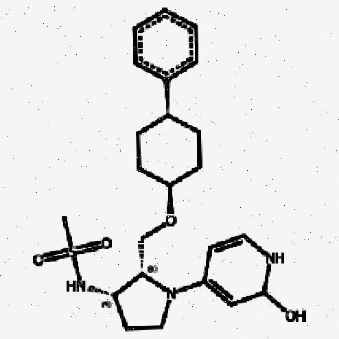 CS(=O)(=O)N[C@H]1CCN(C2=CC(O)NC=C2)[C@H]1CO[C@H]1CC[C@@H](c2ccccc2)CC1